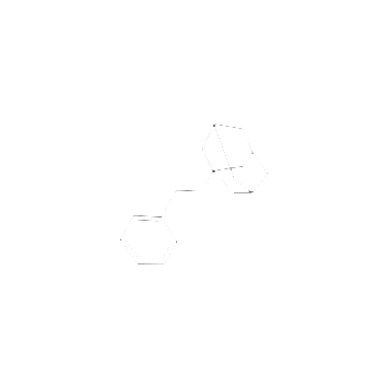 c1ccc(COC23CC4CC(CC(C4)C2)C3)cc1